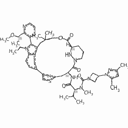 CCn1c(-c2cccnc2[C@H](C)OC)c2c3cc(ccc31)-c1csc(n1)C[C@H](NC(=O)[C@H](C(C)C)N(C)C(=O)N1CC(n3nc(C)cc3C)C1)C(=O)N1CCC[C@H](N1)C(=O)OCC(C)(C)C2